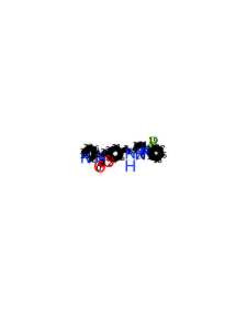 O=C1OC2(CCC(CNc3ccn(-c4ccccc4F)n3)CC2)CN1c1cccnc1